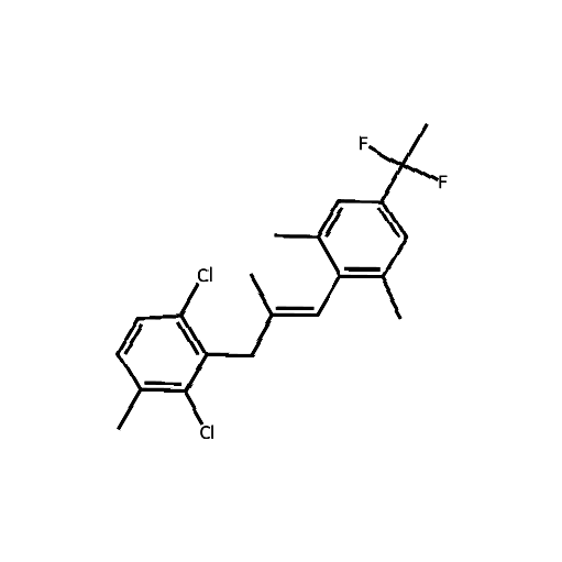 C/C(=C\c1c(C)cc(C(C)(F)F)cc1C)Cc1c(Cl)ccc(C)c1Cl